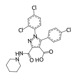 O=C(NN1CCCCC1)c1nn(-c2ccc(Cl)cc2Cl)c(-c2ccc(Cl)cc2)c1C(=O)O